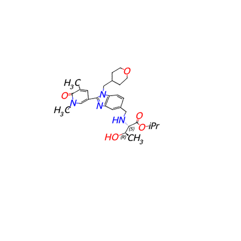 Cc1cc(-c2nc3cc(CN[C@H](C(=O)OC(C)C)[C@@H](C)O)ccc3n2CC2CCOCC2)cn(C)c1=O